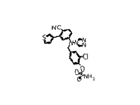 N#Cc1ccc(N(Cc2ccc(OS(N)(=O)=O)c(Cl)c2)n2cnnc2)cc1-c1ccsc1